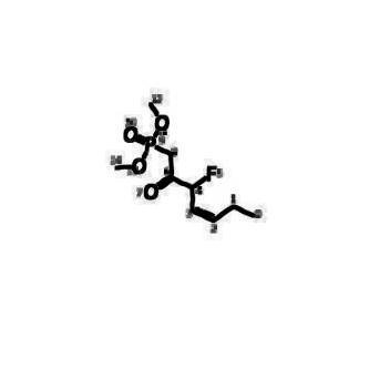 CC/C=C\C(F)C(=O)CP(=O)(OC)OC